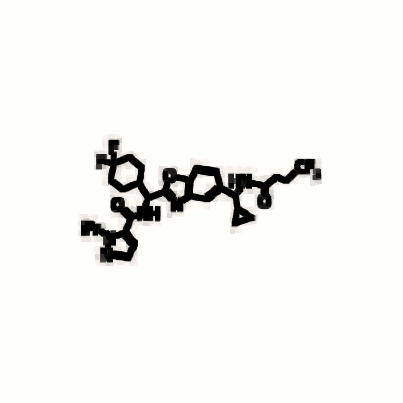 CC(C)n1nccc1C(=O)N[C@H](c1nc2cc([C@@H](NC(=O)CCC(F)(F)F)C3CC3)ccc2o1)C1CCC(F)(F)CC1